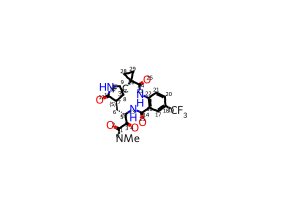 CNC(=O)C(=O)[C@H](C[C@@H]1CCNC1=O)NC(=O)c1cc(C(F)(F)F)ccc1NC(=O)C1(C(F)(F)F)CC1